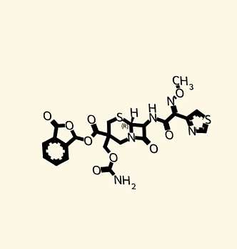 CON=C(C(=O)NC1C(=O)N2CC(COC(N)=O)(C(=O)OC3OC(=O)c4ccccc43)CS[C@H]12)c1cscn1